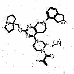 C=C(F)C(=O)N1CCN(c2nc(OCC34CCCN3CCC4)nc3c2CCN(c2cccc4c2C[C@H](C)C4)C3)C[C@@H]1CC#N